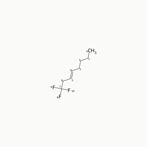 CCCCC=CCC(F)(F)F